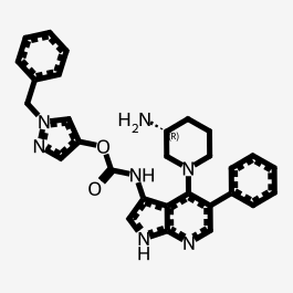 N[C@@H]1CCCN(c2c(-c3ccccc3)cnc3[nH]cc(NC(=O)Oc4cnn(Cc5ccccc5)c4)c23)C1